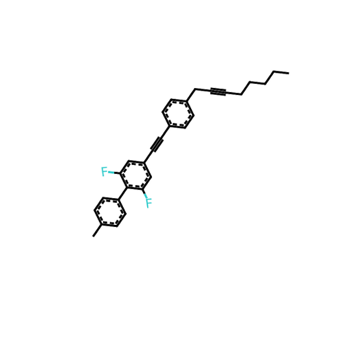 CCCCCC#CCc1ccc(C#Cc2cc(F)c(-c3ccc(C)cc3)c(F)c2)cc1